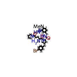 CNc1ccc(CNC(=O)[C@@H]2C[C@@H](Cc3ccc(Br)cc3)CN2C(=O)[C@H](N)CCC(=O)N2CCCC2)cc1N=N